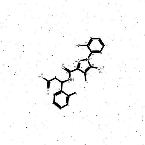 Cc1ccccc1C(CC(=O)O)NC(=O)c1nn(-c2ccccc2F)c(O)c1C